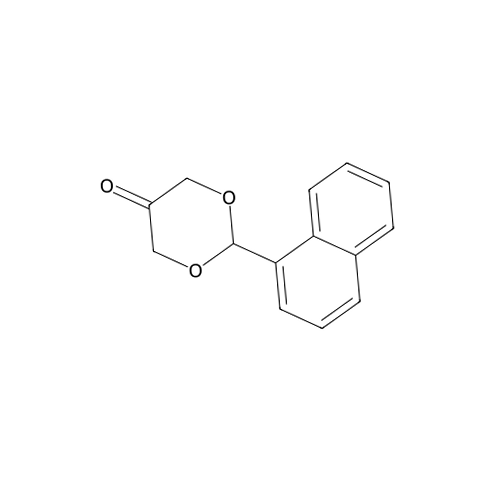 O=C1COC(c2cccc3ccccc23)OC1